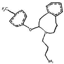 NCCCN1CCc2ccccc2CC1Oc1ccc(C(F)(F)F)cc1